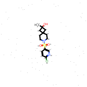 CC1(O)CC2(CCN(S(=O)(=O)c3ccc(Cl)nc3)CC2)C1